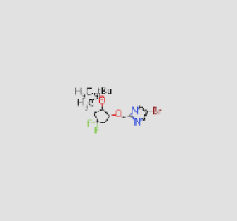 CC(C)(C)[Si](C)(C)OC1CC(F)(F)C[C@@H]1OCc1ncc(Br)cn1